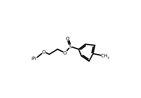 Cc1ccc(S(=O)OCCOC(C)C)cc1